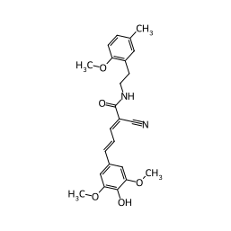 COc1ccc(C)cc1CCNC(=O)/C(C#N)=C/C=C/c1cc(OC)c(O)c(OC)c1